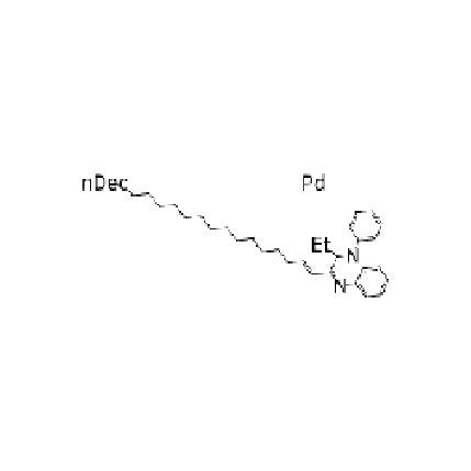 CCCCCCCCCCCCCCCCCCCCCCCC=CC(=Nc1ccccc1)C(CC)=Nc1ccccc1.[Pd]